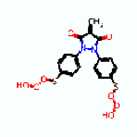 C=C1C(=O)N(c2ccc(SOOO)cc2)N(c2ccc(SOOO)cc2)C1=O